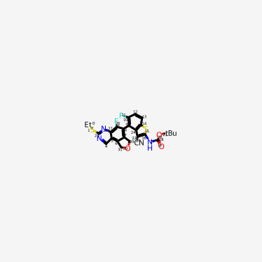 CCSc1ncc2c3c(c(-c4c(F)ccc5sc(NC(=O)OC(C)(C)C)c(C#N)c45)c(F)c2n1)COC3